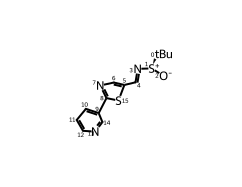 CC(C)(C)[S@@+]([O-])/N=C/c1cnc(-c2cccnc2)s1